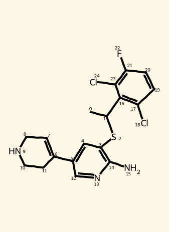 CC(Sc1cc(C2=CCNCC2)cnc1N)c1c(Cl)ccc(F)c1Cl